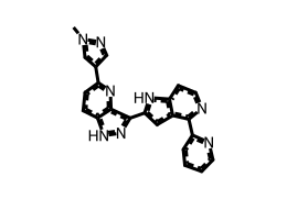 Cn1cc(-c2ccc3[nH]nc(-c4cc5c(-c6ccccn6)nccc5[nH]4)c3n2)cn1